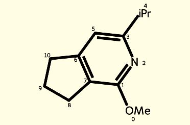 COc1nc(C(C)C)cc2c1CCC2